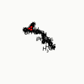 Cc1ncsc1-c1ccc([C@@H](NC(=O)[C@@H]2CCCN2C(=O)[C@H](c2cc(OCCN3CCN(CCOc4cc(N5C6CCC5CN(c5cc(-c7ccccc7O)nnc5N)C6)ccn4)CC3)no2)C(C)C)C(F)F)cc1